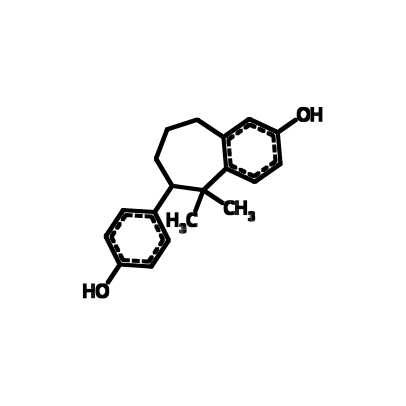 CC1(C)c2ccc(O)cc2CCCC1c1ccc(O)cc1